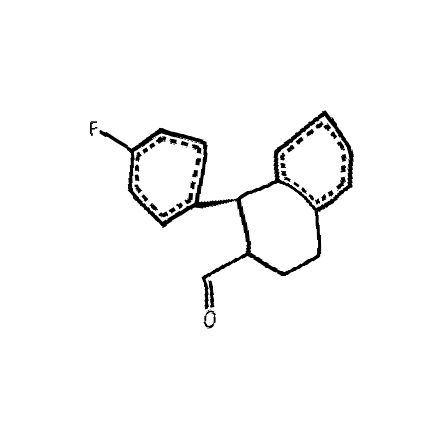 O=CC1CCc2ccccc2[C@@H]1c1ccc(F)cc1